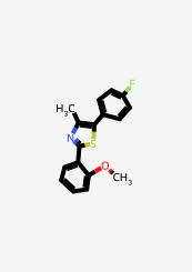 COc1ccccc1-c1nc(C)c(-c2ccc(F)cc2)s1